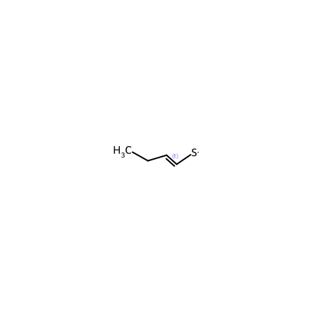 CC/C=C/[S]